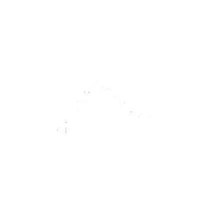 [Cd+2].[Cd+2].[O-2].[O-2].[O-2].[O-2].[O-2].[O-2].[O-2].[V+5].[V+5]